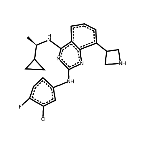 C[C@@H](Nc1nc(Nc2ccc(F)c(Cl)c2)nc2c(C3CNC3)cccc12)C1CC1